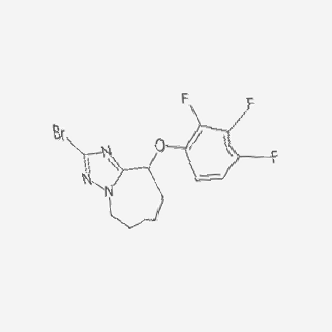 Fc1ccc(OC2CCCCn3nc(Br)nc32)c(F)c1F